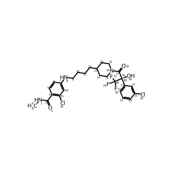 CNC(=O)c1ccc(NCCCCC2CCN(C(=O)[C@](O)(c3cccc(Cl)c3)C(F)(F)F)CC2)cc1Cl